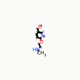 CNCCOc1ccc(C=O)cn1